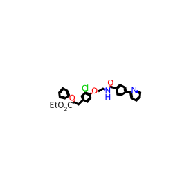 CCOC(=O)C(Cc1ccc(OCCNC(=O)c2ccc(-c3ccccn3)cc2)c(Cl)c1)Oc1ccccc1